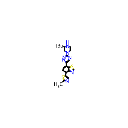 Cc1ncc(-c2ccc(-c3cnc(N4CCNC(C(C)(C)C)C4)nn3)c3scnc23)s1